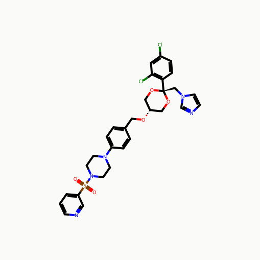 O=S(=O)(c1cccnc1)N1CCN(c2ccc(CO[C@H]3CO[C@@](Cn4ccnc4)(c4ccc(Cl)cc4Cl)OC3)cc2)CC1